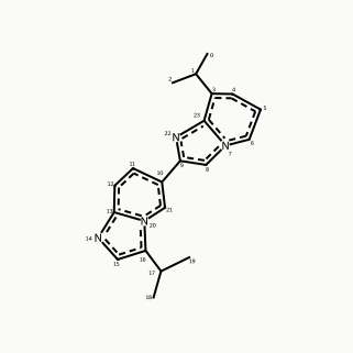 CC(C)c1cccn2cc(-c3ccc4ncc(C(C)C)n4c3)nc12